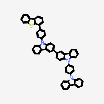 C1=CC2c3ccccc3SC2C(c2ccc(-n3c4ccccc4c4cc(-c5ccc6c(c5)c5ccccc5n6-c5ccc(-n6c7ccccc7c7ccccc76)cc5)ccc43)cc2)=C1